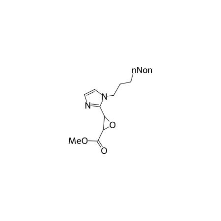 CCCCCCCCCCCCn1ccnc1C1OC1C(=O)OC